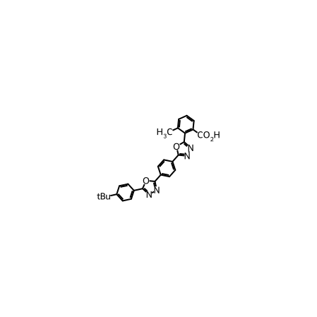 Cc1cccc(C(=O)O)c1-c1nnc(-c2ccc(-c3nnc(-c4ccc(C(C)(C)C)cc4)o3)cc2)o1